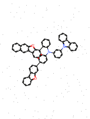 c1cc(N(c2ccc(-c3ccc4c(c3)oc3ccccc34)cc2)c2ccccc2-c2cccc3c2oc2cc4ccccc4cc23)cc(-n2c3ccccc3c3ccccc32)c1